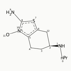 CCCN[C@H]1CCc2c(sc(N)[n+]2[O-])C1